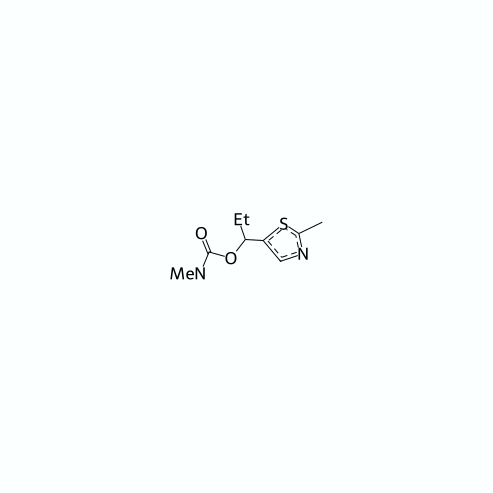 CCC(OC(=O)NC)c1cnc(C)s1